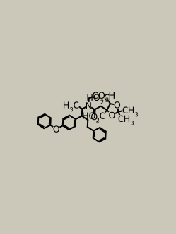 CC(C(CCc1ccccc1)c1ccc(Oc2ccccc2)cc1)N(CC(=O)O)C(=O)CC1(C(=O)O)OC(C)(C)OC1C(=O)O